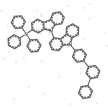 c1ccc(-c2cccc(-c3ccc(-n4c5ccccc5c5c(-n6c7ccccc7c7ccc([Si](c8ccccc8)(c8ccccc8)c8ccccc8)cc76)cccc54)cc3)c2)cc1